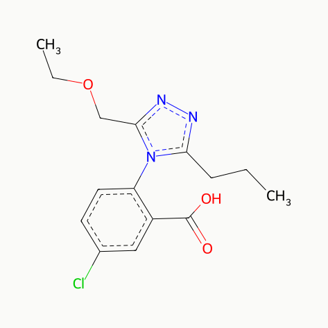 CCCc1nnc(COCC)n1-c1ccc(Cl)cc1C(=O)O